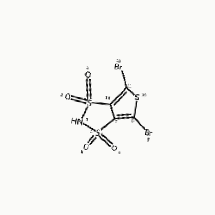 O=S1(=O)NS(=O)(=O)c2c(Br)sc(Br)c21